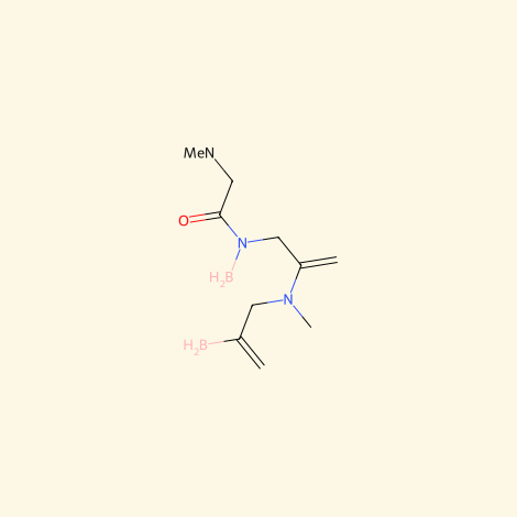 BC(=C)CN(C)C(=C)CN(B)C(=O)CNC